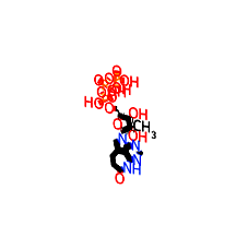 C[C@@]1(O)[C@H](O)[C@@H](COP(=O)(O)OP(=O)(O)OP(=O)(O)O)O[C@H]1n1cc2c3c(ncnc31)NC(=O)CC2